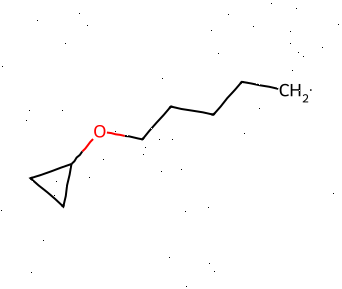 [CH2]CCCCOC1CC1